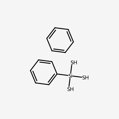 S[Si](S)(S)c1ccccc1.c1ccccc1